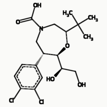 CC(C)(C)C1CN(C(=O)O)C[C@@H](c2ccc(Cl)c(Cl)c2)[C@H]([C@H](O)CO)O1